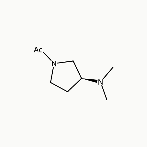 CC(=O)N1CC[C@H](N(C)C)C1